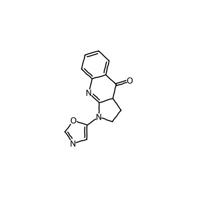 O=C1c2ccccc2N=C2C1CCN2c1cnco1